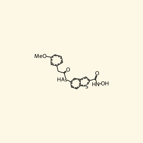 COc1cccc(CC(=O)[AsH]c2ccc3sc(C(=O)NO)cc3c2)c1